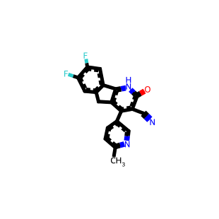 Cc1ccc(-c2c3c([nH]c(=O)c2C#N)-c2cc(F)c(F)cc2C3)cn1